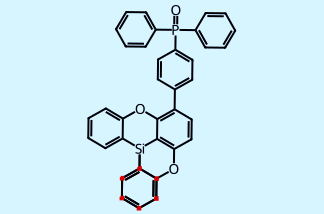 O=P(c1ccccc1)(c1ccccc1)c1ccc(-c2ccc3c4c2Oc2ccccc2[Si]4(c2ccccc2)c2ccccc2O3)cc1